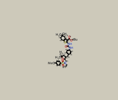 COc1ccc(S(=O)(=O)N(CC(C)C)C[C@H]2OC(C)(C)C[C@H]2Cc2ccc(NC(=O)Nc3sc4c(c3C(=O)OC(C)(C)C)CC(C)(C)CC4)cc2)cc1